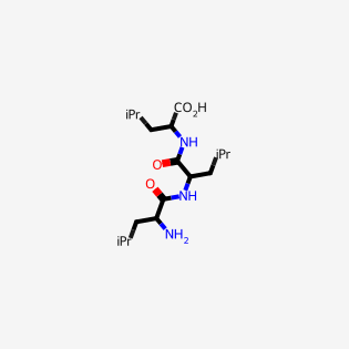 CC(C)CC(N)C(=O)NC(CC(C)C)C(=O)NC(CC(C)C)C(=O)O